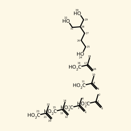 C=C(C)C(=O)O.C=C(C)C(=O)O.C=C(C)C(=O)O.C=C(C)C(=O)O.C=C(C)C(=O)O.C=C(C)C(=O)O.OCCCC(CO)CO